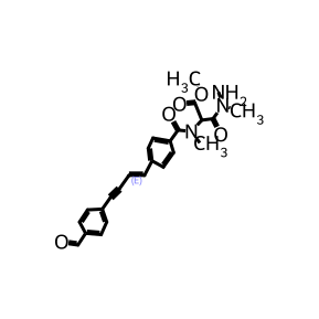 COC(=O)C(C(=O)N(C)N)N(C)C(=O)c1ccc(/C=C/C#Cc2ccc(C=O)cc2)cc1